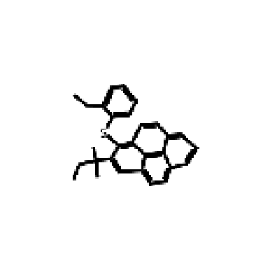 CCc1ccccc1Sc1c(C(C)(C)CC)cc2ccc3cccc4ccc1c2c34